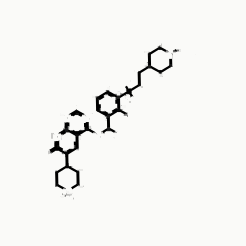 CC(Nc1ncnc2[nH]c(=O)c(C3CCS(=O)(=O)CC3)cc12)c1cccc(C(F)(F)CCC2CCN(C(=O)O)CC2)c1F